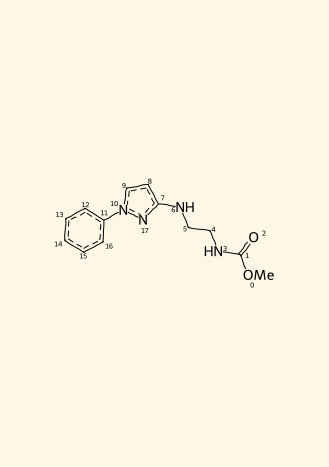 COC(=O)NCCNc1ccn(-c2ccccc2)n1